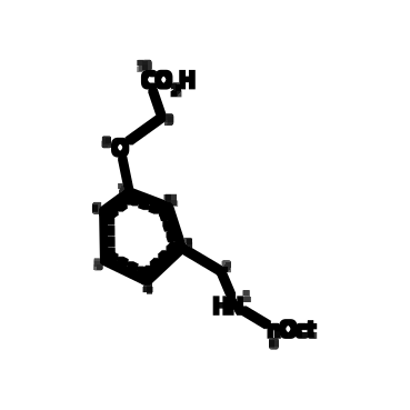 CCCCCCCCNCc1cccc(OCC(=O)O)c1